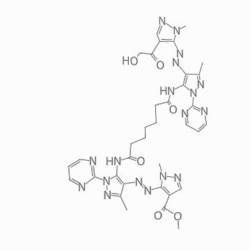 COC(=O)c1cnn(C)c1/N=N/c1c(C)nn(-c2ncccn2)c1NC(=O)CCCCCC(=O)Nc1c(/N=N/c2c(C(=O)CO)cnn2C)c(C)nn1-c1ncccn1